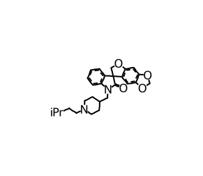 CC(C)CCN1CCC(CN2C(=O)C3(COc4cc5c(cc43)OCO5)c3ccccc32)CC1